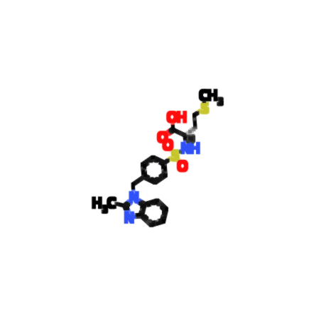 CSCC[C@H](NS(=O)(=O)c1ccc(Cn2c(C)nc3ccccc32)cc1)C(=O)O